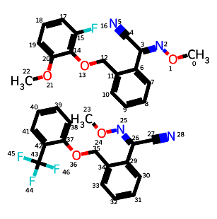 CO/N=C(/C#N)c1ccccc1COc1c(F)cccc1OC.CO/N=C(/C#N)c1ccccc1COc1ccccc1C(F)(F)F